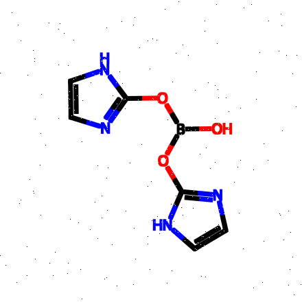 OB(Oc1ncc[nH]1)Oc1ncc[nH]1